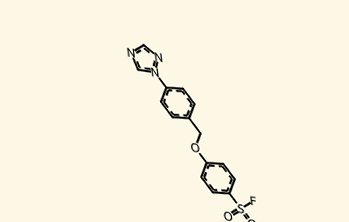 O=S(=O)(F)c1ccc(OCc2ccc(-n3cncn3)cc2)cc1